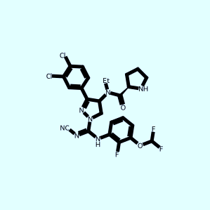 CCN(C(=O)[C@H]1CCCN1)C1CN(/C(=N\C#N)Nc2cccc(OC(F)F)c2F)N=C1c1ccc(Cl)c(Cl)c1